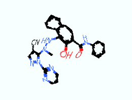 CN(Nc1c(O)c(C(=O)Nc2ccccc2)cc2ccccc12)c1c(C#N)cnn1-c1ncccn1